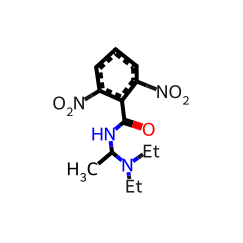 CCN(CC)C(C)NC(=O)c1c([N+](=O)[O-])cccc1[N+](=O)[O-]